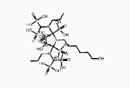 CCCN(C(P(=O)(O)O)P(=O)(O)O)C(N(CCCCCCO)C(N(CCC)C(P(=O)(O)O)P(=O)(O)O)(P(=O)(O)O)P(=O)(O)O)(P(=O)(O)O)P(=O)(O)O